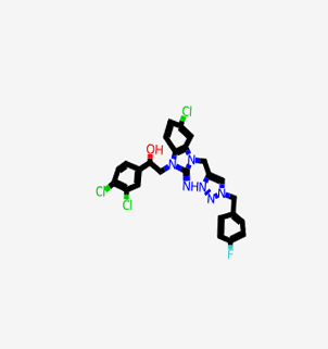 N=c1n(Cc2cn(Cc3ccc(F)cc3)nn2)c2cc(Cl)ccc2n1CC(O)c1ccc(Cl)c(Cl)c1